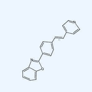 C(=C\c1ccc(-c2nc3ccccc3o2)cc1)/c1ccncc1